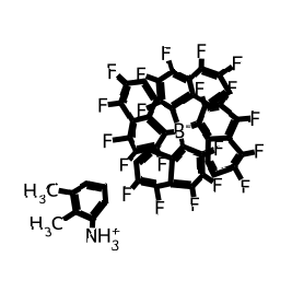 Cc1cccc([NH3+])c1C.Fc1ccc2c([B-](c3c(F)c(F)c(F)c4c(F)c(F)ccc34)(c3c(F)c(F)c(F)c4c(F)c(F)ccc34)c3c(F)c(F)c(F)c4c(F)c(F)ccc34)c(F)c(F)c(F)c2c1F